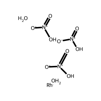 O.O.O=[N+]([O-])O.O=[N+]([O-])O.O=[N+]([O-])O.[Rh]